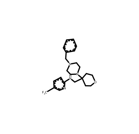 FC(F)(F)c1ccc(NCC2(N3CCN(Cc4ccccc4)CC3)CCOCC2)nc1